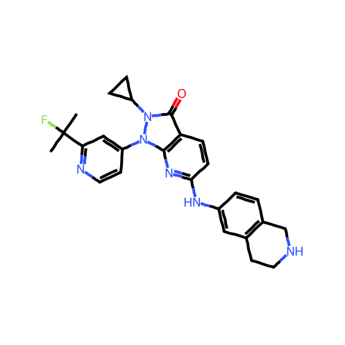 CC(C)(F)c1cc(-n2c3nc(Nc4ccc5c(c4)CCNC5)ccc3c(=O)n2C2CC2)ccn1